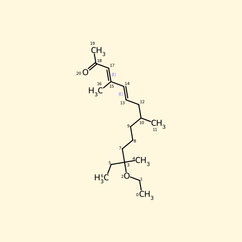 CCOC(C)(CC)CCCC(C)C/C=C/C(C)=C/C(C)=O